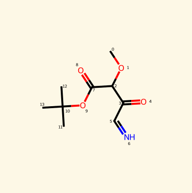 COC(C(=O)C=N)C(=O)OC(C)(C)C